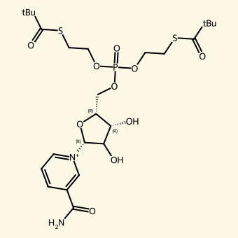 CC(C)(C)C(=O)SCCOP(=O)(OCCSC(=O)C(C)(C)C)OC[C@H]1O[C@@H]([n+]2cccc(C(N)=O)c2)C(O)[C@H]1O